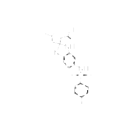 CC(C)CC1(CC(=O)O)Nc2ccc(NS(=O)(=O)c3ccc(F)cc3)cc2N1